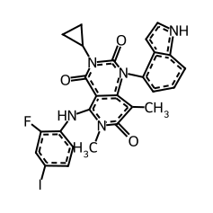 Cc1c(=O)n(C)c(Nc2ccc(I)cc2F)c2c(=O)n(C3CC3)c(=O)n(-c3cccc4[nH]ccc34)c12